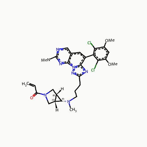 C=CC(=O)N1C[C@@H]2[C@H](C1)[C@@H]2N(C)CCCc1nc2c(-c3c(Cl)c(OC)cc(OC)c3Cl)cc3cnc(NC)nc3n2n1